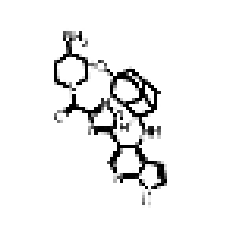 NC1CCN(C(=O)c2noc(-c3cnc4[nH]ccc4c3N[C@H]3C4CC5CC3C[C@@](O)(C5)C4)n2)CC1